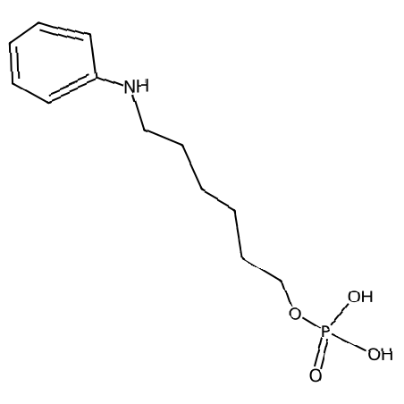 O=P(O)(O)OCCCCCCNc1ccccc1